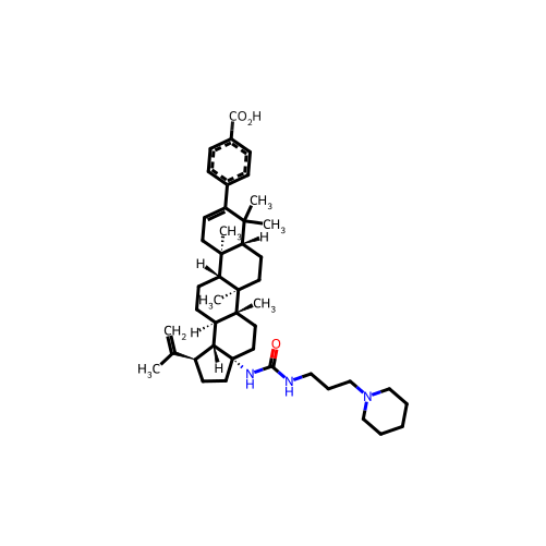 C=C(C)[C@@H]1CC[C@]2(NC(=O)NCCCN3CCCCC3)CC[C@]3(C)[C@H](CC[C@@H]4[C@@]5(C)CC=C(c6ccc(C(=O)O)cc6)C(C)(C)[C@@H]5CC[C@]43C)[C@@H]12